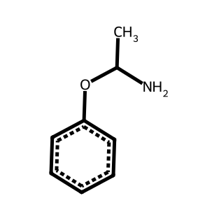 CC(N)Oc1ccccc1